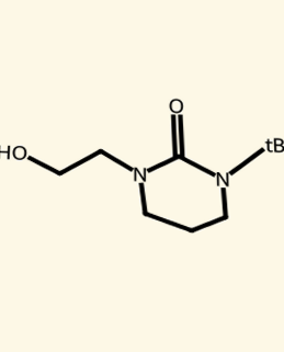 CC(C)(C)N1CCCN(CCO)C1=O